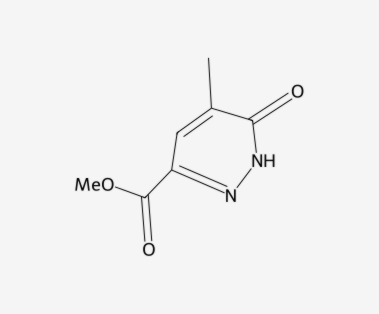 COC(=O)c1cc(C)c(=O)[nH]n1